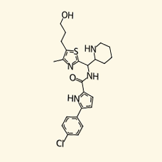 Cc1nc(C(NC(=O)c2ccc(-c3ccc(Cl)cc3)[nH]2)C2CCCCN2)sc1CCCO